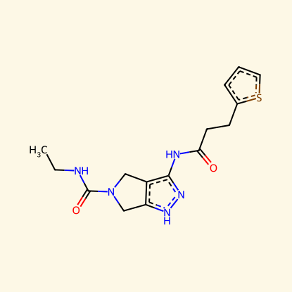 CCNC(=O)N1Cc2[nH]nc(NC(=O)CCc3cccs3)c2C1